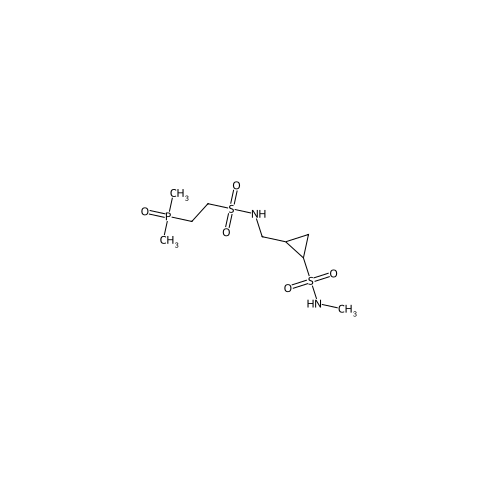 CNS(=O)(=O)C1CC1CNS(=O)(=O)CCP(C)(C)=O